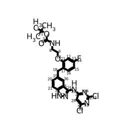 CC(C)(C)OC(=O)NCCOc1cc(F)ccc1Cc1ccc2[nH]nc(Nc3cc(Cl)nc(Cl)n3)c2c1